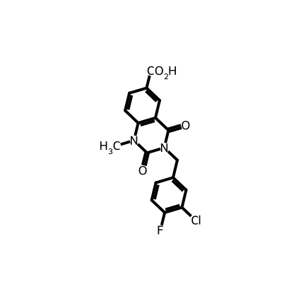 Cn1c(=O)n(Cc2ccc(F)c(Cl)c2)c(=O)c2cc(C(=O)O)ccc21